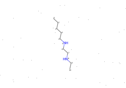 CCCCCNCCNCC